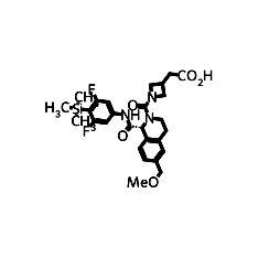 COCc1ccc2c(c1)CCN(C(=O)N1CC(CC(=O)O)C1)[C@H]2C(=O)Nc1cc(F)c([Si](C)(C)C)c(F)c1